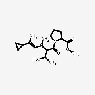 COC(=O)C1CCCN1C(=O)C(C(C)C)N(N)/C=C(\N)C1CC1